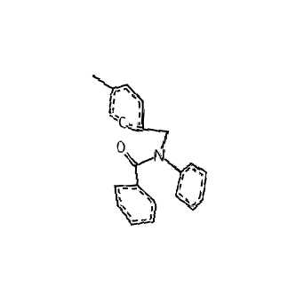 Cc1ccc(CN(C(=O)c2ccccc2)c2ccccc2)cc1